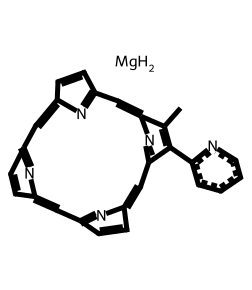 CC1=C(c2ccccn2)C2=NC1=CC1=NC(=CC3=NC(=CC4=NC(=C2)C=C4)C=C3)C=C1.[MgH2]